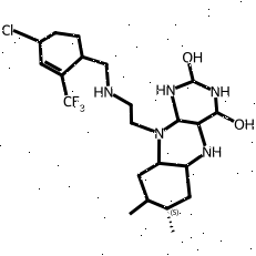 CC1CC2C(C[C@@H]1C)NC1C(O)NC(O)NC1N2CCNCC1CCC(Cl)C=C1C(F)(F)F